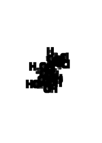 Cc1cc(-c2cc(Cl)c(Cl)cc2C)ccc1O[C@H]1O[C@H](CO)[C@@H](O)[C@H](O)[C@]1(C)O